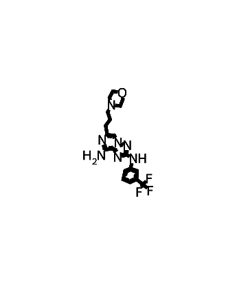 Nc1nc(CCCN2CCOCC2)cn2nc(Nc3cccc(C(F)(F)F)c3)nc12